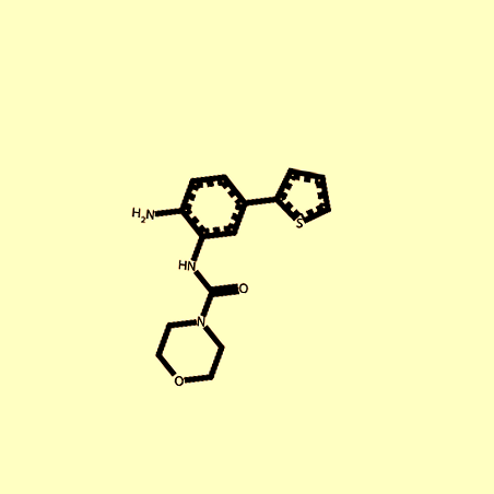 Nc1ccc(-c2cccs2)cc1NC(=O)N1CCOCC1